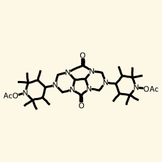 CC(=O)ON1C(C)(C)C(C)C(N2CN3C(=O)N4CN(C5C(C)C(C)(C)N(OC(C)=O)C(C)(C)C5C)CN5C(=O)N(C2)C3C45)C(C)C1(C)C